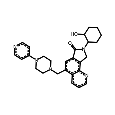 O=C1c2cc(CN3CCN(c4ccncc4)CC3)c3cccnc3c2CN1C1CCCCC1O